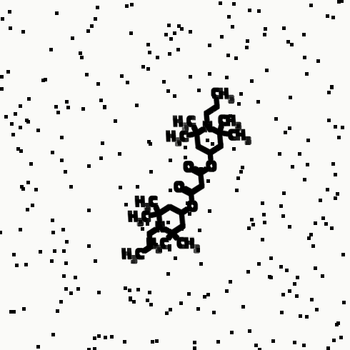 CCCN1C(C)(C)CC(OC(=O)CC(=O)OC2CC(C)(C)N(CCC)C(C)(C)C2)CC1(C)C